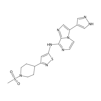 CS(=O)(=O)N1CCC(c2cc(Nc3nccn4c(-c5cn[nH]c5)cnc34)sn2)CC1